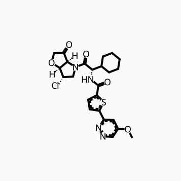 COc1cnnc(-c2ccc(C(=O)N[C@H](C(=O)N3C[C@H](Cl)[C@H]4OCC(=O)[C@H]43)C3CCCCC3)s2)c1